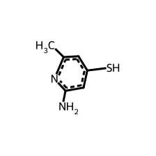 Cc1cc(S)cc(N)n1